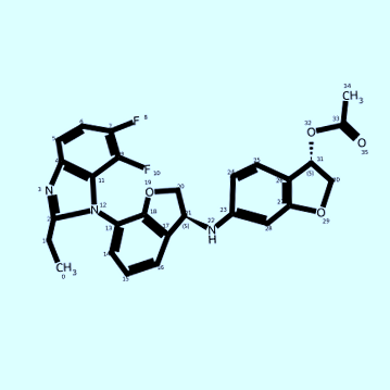 CCc1nc2ccc(F)c(F)c2n1-c1cccc2c1OC[C@H]2Nc1ccc2c(c1)OC[C@H]2OC(C)=O